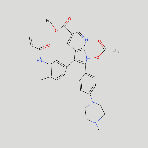 C=CC(=O)Nc1cc(-c2c(-c3ccc(N4CCN(C)CC4)cc3)n(OC(=O)C(F)(F)F)c3ncc(C(=O)OC(C)C)cc23)ccc1C